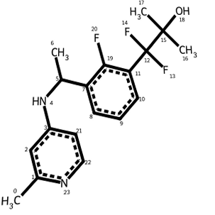 Cc1cc(NC(C)c2cccc(C(F)(F)C(C)(C)O)c2F)ccn1